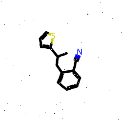 CC(Cc1ccccc1C#N)c1cccs1